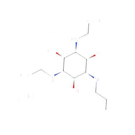 Cl.Cl.Cl.O=C(O)CCN[C@H]1[C@@H](O)[C@@H](NCC(=O)O)[C@@H](O)[C@@H](NCC(=O)O)[C@H]1O